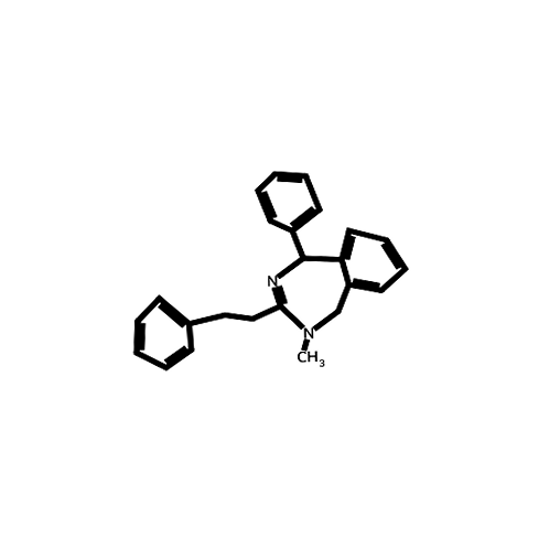 CN1Cc2ccccc2C(c2ccccc2)N=C1CCc1ccccc1